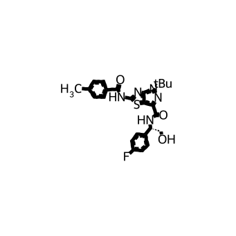 Cc1ccc(C(=O)Nc2nc3c(s2)c(C(=O)N[C@H](CO)c2ccc(F)cc2)nn3C(C)(C)C)cc1